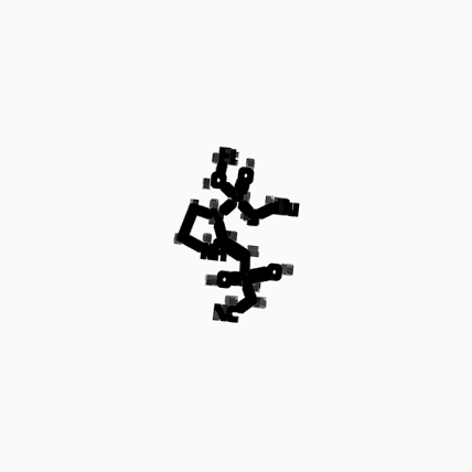 CCOP(=O)(SC(C)CC)N1CCNC1=CS(=O)(=O)CC#N